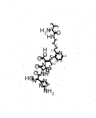 CC(C)[C@H](N)C(=O)NCCSCc1ncccc1SC1=C(C(=O)O)N2C(=O)[C@@H](NC(=O)/C(=N\O)c3nsc(N)n3)[C@@H]2SC1